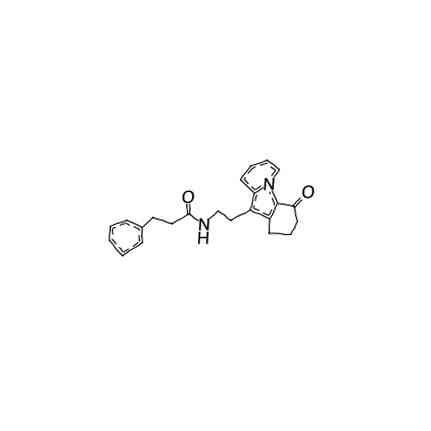 O=C(CCc1ccccc1)NCCc1c2c(n3ccccc13)C(=O)CCC2